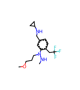 CNN(CCCOC)c1cc(CNC2CC2)ccc1CC(F)(F)F